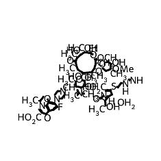 CC[C@H]1OC(=O)[C@H](C)[C@@H](O[C@H]2C[C@@](C)(OC)[C@@H](O)[C@H](C)O2)[C@H](C)[C@@H](O[C@@H]2O[C@H](C)C[C@H](N(C)C)[C@H]2O)[C@](C)(O)C[C@@H](C)C(=O)[C@H](C)[C@@H](O)[C@]1(C)O.C[C@@H](O)[C@H]1C(=O)N2C(C(=O)O)=C(SCCNC=N)C[C@H]12.C[C@H]1COc2c(N3CCN(C)CC3)c(F)cc3c(=O)c(C(=O)O)cn1c23.O